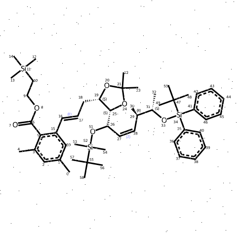 Cc1cc(C)c(C(=O)OCC[Si](C)(C)C)c(/C=C/C[C@@H]2OC(C)(C)O[C@@H]2C(/C=C\[C@@H](C)[C@H](C)O[Si](c2ccccc2)(c2ccccc2)C(C)(C)C)O[Si](C)(C)C(C)(C)C)c1